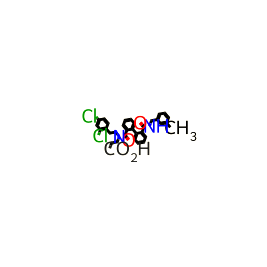 Cc1cccc(CNC(=O)c2ccccc2-c2ccccc2C(=O)N(CCC(=O)O)CCc2ccc(Cl)cc2Cl)c1